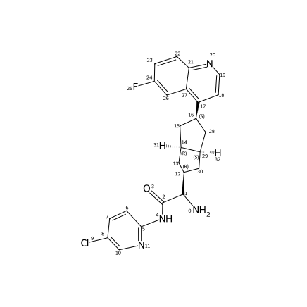 NC(C(=O)Nc1ccc(Cl)cn1)[C@H]1C[C@H]2C[C@@H](c3ccnc4ccc(F)cc34)C[C@H]2C1